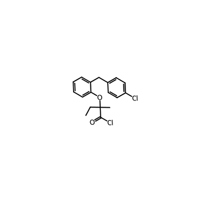 CCC(C)(Oc1ccccc1Cc1ccc(Cl)cc1)C(=O)Cl